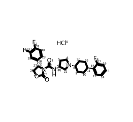 Cl.O=C(N[C@@H]1CCN([C@H]2CC[C@H](c3ccccc3F)CC2)C1)N1C(=O)OC[C@@H]1c1ccc(F)c(F)c1